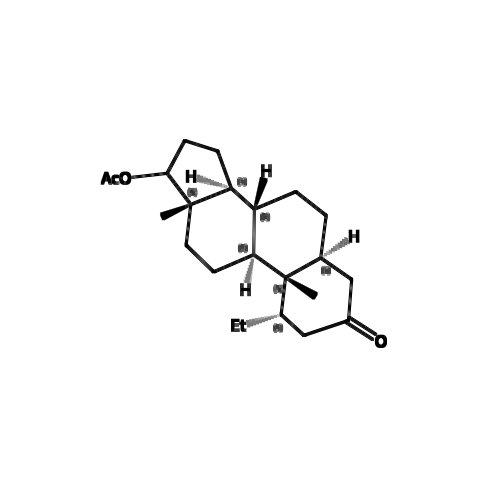 CC[C@H]1CC(=O)C[C@@H]2CC[C@@H]3[C@H](CC[C@]4(C)C(OC(C)=O)CC[C@@H]34)[C@@]12C